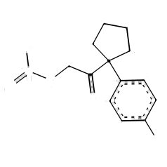 O=C(CO[PH](=O)O)C1(c2ccc(F)cc2)CCCC1